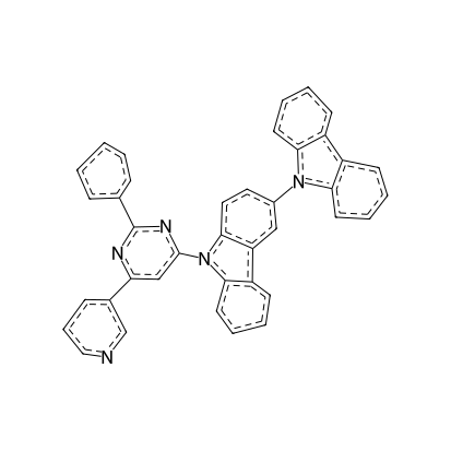 c1ccc(-c2nc(-c3cccnc3)cc(-n3c4ccccc4c4cc(-n5c6ccccc6c6ccccc65)ccc43)n2)cc1